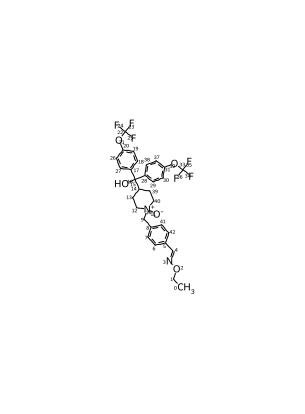 CCON=Cc1ccc(C[N+]2([O-])CCC(C(O)(c3ccc(OC(F)(F)F)cc3)c3ccc(OC(F)(F)F)cc3)CC2)cc1